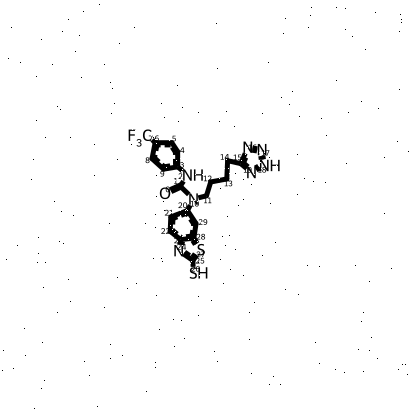 O=C(Nc1ccc(C(F)(F)F)cc1)N(CCCCc1nn[nH]n1)c1ccc2nc(S)sc2c1